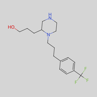 OCCCC1CNCCN1CCCc1ccc(C(F)(F)F)cc1